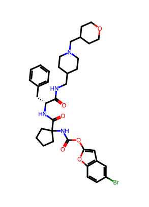 O=C(NC1(C(=O)N[C@H](Cc2ccccc2)C(=O)NCC2CCN(CC3CCOCC3)CC2)CCCC1)Oc1cc2cc(Br)ccc2o1